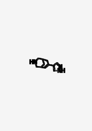 C1=C(c2cn[nH]c2)CC2CNCC1C2